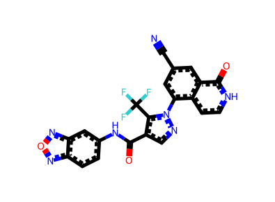 N#Cc1cc(-n2ncc(C(=O)Nc3ccc4nonc4c3)c2C(F)(F)F)c2cc[nH]c(=O)c2c1